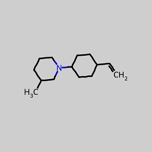 C=CC1CCC(N2CCCC(C)C2)CC1